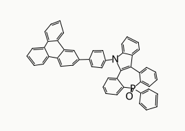 O=P1(c2ccccc2)c2ccccc2-c2c(n(-c3ccc(-c4ccc5c6ccccc6c6ccccc6c5c4)cc3)c3ccccc23)-c2ccccc21